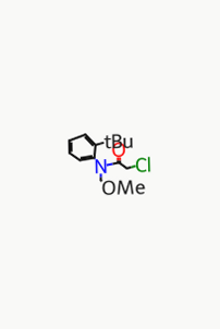 COCN(C(=O)CCl)c1ccccc1C(C)(C)C